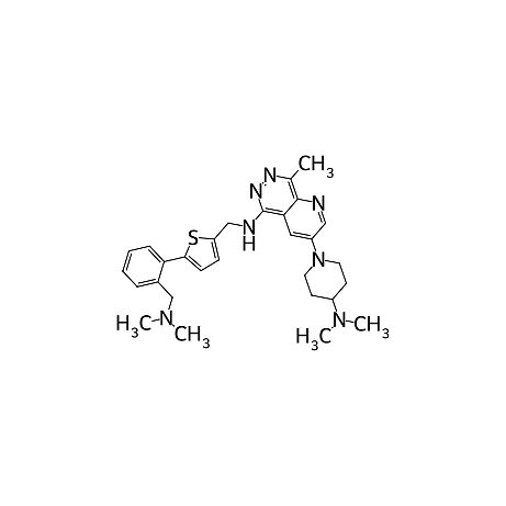 Cc1nnc(NCc2ccc(-c3ccccc3CN(C)C)s2)c2cc(N3CCC(N(C)C)CC3)cnc12